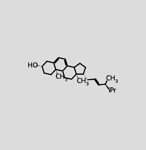 CC(C)[C@H](C)/C=C/C[C@H]1CCC2C3=CC=C4C[C@@H](O)CC[C@]4(C)C3CC[C@@]21C